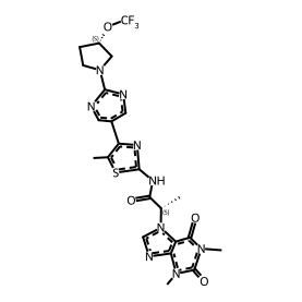 Cc1sc(NC(=O)[C@H](C)n2cnc3c2c(=O)n(C)c(=O)n3C)nc1-c1cnc(N2CC[C@H](OC(F)(F)F)C2)nc1